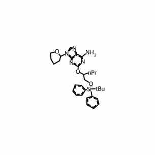 CCCC(CO[Si](c1ccccc1)(c1ccccc1)C(C)(C)C)Oc1nc(N)c2ncn(C3CCCCO3)c2n1